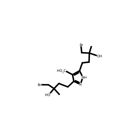 CC(O)(CBr)CCc1n[nH]c(CCC(C)(O)CBr)c1C(=O)O